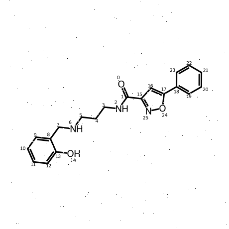 O=C(NCCCNCc1ccccc1O)c1cc(-c2ccccc2)on1